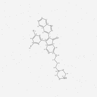 O=C1C(c2cnc3ccccc3c2)=C(c2cc(F)cc(F)c2)c2ccc(OCCCN3CCNCC3)cc21